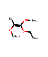 CCCCCCCOC(CC)=C(OCCCCCCC)OCOC